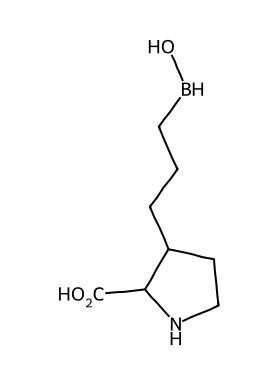 O=C(O)C1NCCC1CCCBO